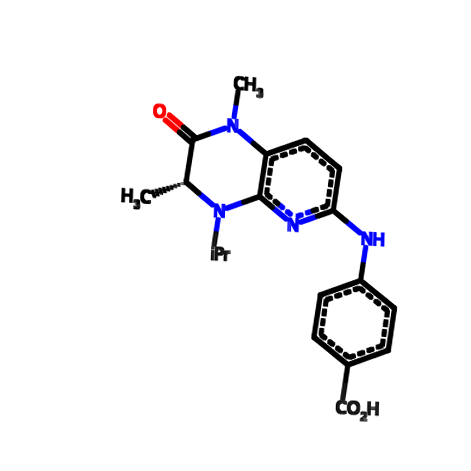 CC(C)N1c2nc(Nc3ccc(C(=O)O)cc3)ccc2N(C)C(=O)[C@H]1C